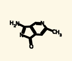 Cc1cc2c(cn1)C(N)=NC2=O